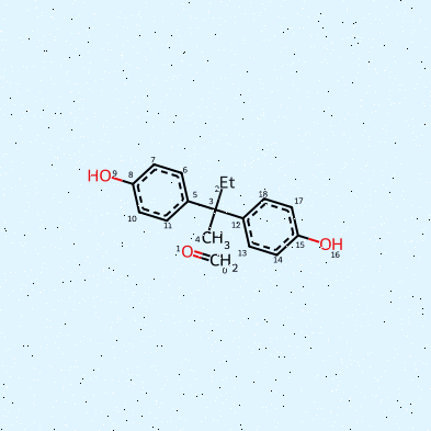 C=O.CCC(C)(c1ccc(O)cc1)c1ccc(O)cc1